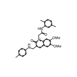 COc1cc2cc(CNc3ccc(C)cc3)c(=O)n(CC(=O)Nc3cc(C)ccc3C)c2cc1OC